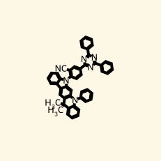 CC1(C)c2ccccc2N(c2ccccc2)c2cc3c(cc21)c1ccccc1n3-c1ccc(-c2nc(-c3ccccc3)nc(-c3ccccc3)n2)cc1C#N